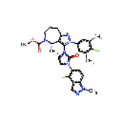 Cc1cc(-n2nc3c(c2-n2ccn(-c4ccc5c(cnn5C)c4F)c2=O)[C@H](C)N(C(=O)OC(C)(C)C)CCC3)cc(C)c1F